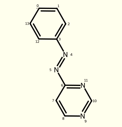 [c]1ccc(N=Nc2ccncn2)cc1